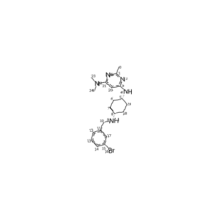 Cc1nc(N[C@H]2CC[C@@H](NCc3cccc(Br)c3)CC2)cc(N(C)C)n1